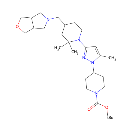 Cc1cc(N2CCC(CN3CC4COCC4C3)CC2(C)C)nn1C1CCN(C(=O)OC(C)(C)C)CC1